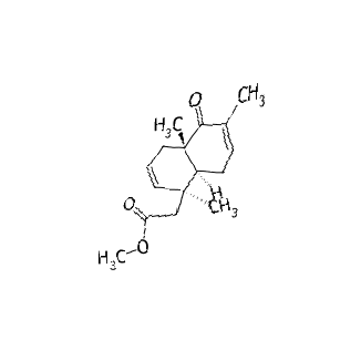 COC(=O)C[C@@]1(C)C=CC[C@]2(C)C(=O)C(C)=CC[C@@H]12